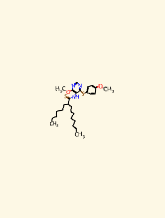 CCCCCCCCC(CCCCCC)C(=S)Nc1c(OC)ncnc1Sc1ccc(OC)cc1